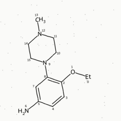 CCOc1ccc(N)cc1N1CCN(C)CC1